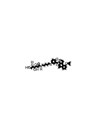 O=C(CC(O)C(O)C(O)CO)NCCCCCSc1ccc(Cl)c(COC2(c3cnccc3-c3ccccc3OC3CC3)CC2)c1